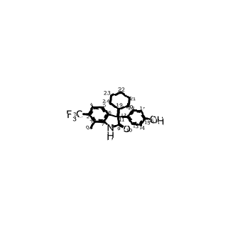 Cc1c(C(F)(F)F)ccc2c1NC(=O)C2(c1ccc(O)cc1)C1CCCCC1